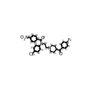 O=C(c1ccc(F)cc1)C1CCN(CCN(C(=O)c2ccc([N+](=O)[O-])cc2)c2ccc(Cl)cc2)CC1